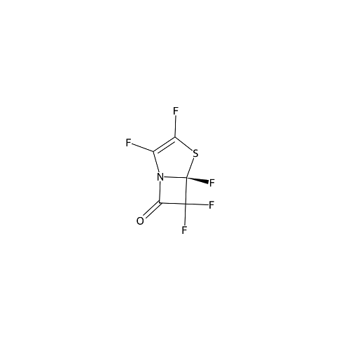 O=C1N2C(F)=C(F)S[C@]2(F)C1(F)F